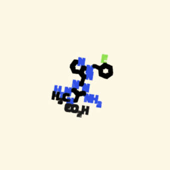 CN(Cc1c(N)nc(-c2nn(Cc3ccccc3F)c3ncccc23)nc1N)C(=O)O